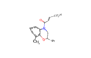 Cc1cccc2c1OC(C(C)C)CN2C(=O)C=CC(=O)O